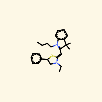 CCCC[N+]1=C(/C=C2\SC(c3ccccc3)CN2CC)C(C)(C)c2ccccc21